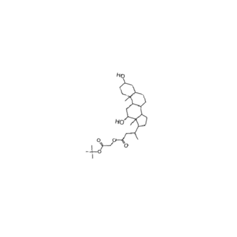 CC(CC(=O)OCC(=O)OC(C)(C)C)C1CCC2C3CCC4CC(O)CCC4(C)C3CC(O)C12C